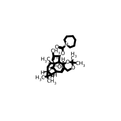 CC1=C[C@]23C(=O)[C@@H](C=C4COC(C)(C)O[C@H]4[C@]2(O)[C@H]1OC(=O)N1CCCCCC1)[C@H]1[C@@H](C[C@H]3C)C1(C)C